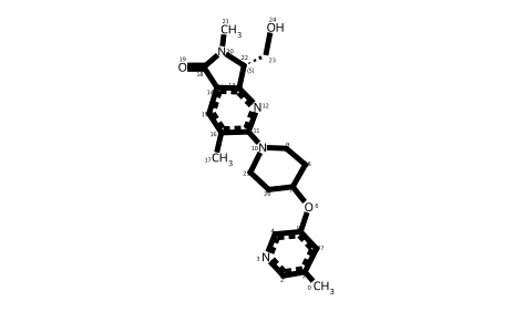 Cc1cncc(OC2CCN(c3nc4c(cc3C)C(=O)N(C)[C@@H]4CO)CC2)c1